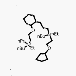 CCCC[N+](CC)(CCCC1CCCCC1OCC[N+](CC)(CCC)CCCC)CCOC1CCCC1